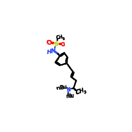 CCCCN(CCCC)C(C)C/C=C/c1ccc(NS(C)(=O)=O)cc1